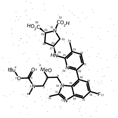 COC(CN(C)C(=O)OC(C)(C)C)Cn1c(C)nc2cc(F)cc(-c3ccc(C)c(N[C@H]4C[C@@H](C(=O)O)N(C(=O)O)C4)n3)c21